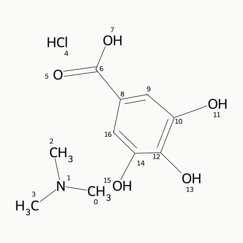 CN(C)C.Cl.O=C(O)c1cc(O)c(O)c(O)c1